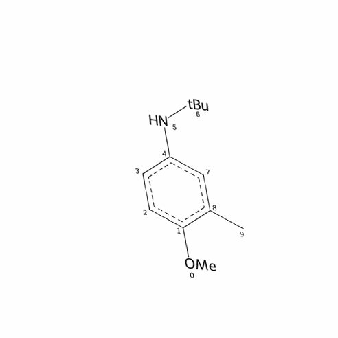 COc1ccc(NC(C)(C)C)cc1C